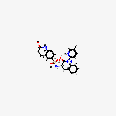 Cc1ccc(NC(=O)C(Cc2ccccc2)NS(=O)(=O)c2ccc3c(c2)CCC(=O)N3)nc1